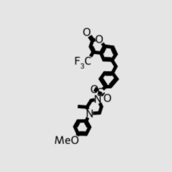 COc1ccc(N2CCN(S(=O)(=O)c3ccc(Cc4ccc5oc(=O)cc(C(F)(F)F)c5c4)cc3)CC2C)cc1